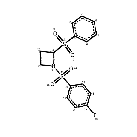 O=S(=O)(c1ccccc1)C1CCN1S(=O)(=O)c1ccc(F)cc1